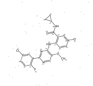 COc1cnc(-c2cc(Cl)ccc2F)nc1Nc1cc[n+]([O-])cc1C(=O)NC1CC1